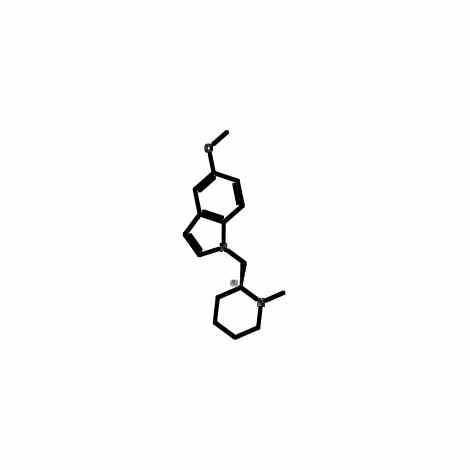 COc1ccc2c(ccn2C[C@@H]2CCCCN2C)c1